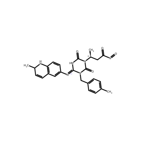 Cc1ccc(Cn2c(=O)n([C@@H](C)CC(=O)N=O)c(=O)[nH]/c2=N\c2ccc3c(c2)C=CC(C)N3)cc1